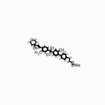 CCC(CC)(c1ccc(C#CC2(O)CCOCC2)c(C)c1)c1ccc(-c2ccc(CCOOC)cc2)c(C)c1